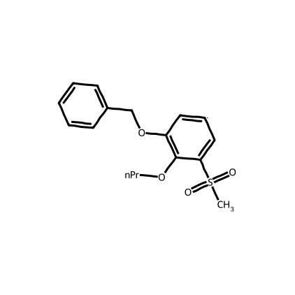 CCCOc1c(OCc2ccccc2)c[c]cc1S(C)(=O)=O